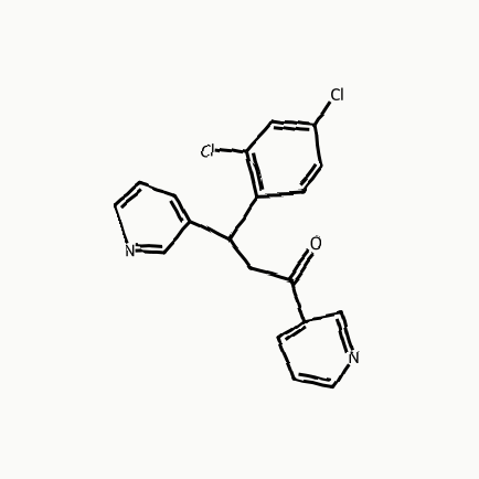 O=C(CC(c1cccnc1)c1ccc(Cl)cc1Cl)c1cccnc1